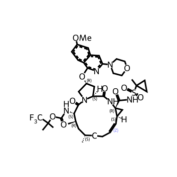 COc1ccc2c(O[C@@H]3C[C@H]4C(=O)N[C@]5(C(=O)NS(=O)(=O)C6(C)CC6)C[C@H]5/C=C\CC[C@H](C)C[C@@H](C)[C@H](NC(=O)OC(C)(C)C(F)(F)F)C(=O)N4C3)nc(N3CCOCC3)cc2c1